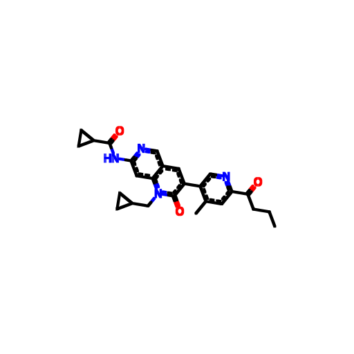 CCCC(=O)c1cc(C)c(-c2cc3cnc(NC(=O)C4CC4)cc3n(CC3CC3)c2=O)cn1